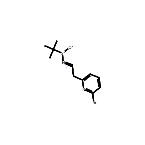 CC(C)(C)[S+]([O-])/N=C/Cc1cccc(Br)n1